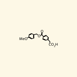 COc1ccc(COC(=O)c2ccc(CC(=O)O)cc2)cc1